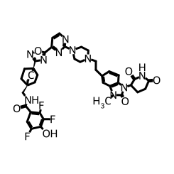 Cn1c(=O)n(C2CCC(=O)NC2=O)c2ccc(CCN3CCN(c4nccc(-c5nc([C@]67CC[C@](CNC(=O)c8cc(F)c(O)c(F)c8F)(CC6)CC7)no5)n4)CC3)cc21